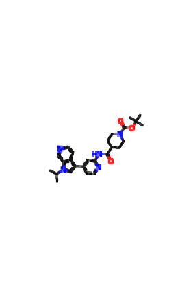 CC(C)n1cc(-c2ccnc(NC(=O)C3CCN(C(=O)OC(C)(C)C)CC3)c2)c2ccncc21